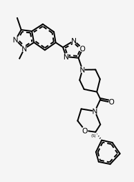 Cc1nn(C)c2cc(-c3noc(N4CCC(C(=O)N5CCO[C@@H](c6ccccc6)C5)CC4)n3)ccc12